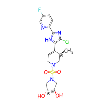 C[C@H]1CN(S(=O)(=O)N2C[C@@H](O)[C@H](O)C2)CC=C1c1[nH]c(-c2ccc(F)cn2)nc1Cl